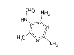 Cc1nc(C)c(NC=O)c(N)n1